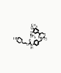 COc1ccc(C2=NN(Cc3ccc(NC(=O)OCCN4CCNCC4)cc3)C(=O)SC2)cc1OC